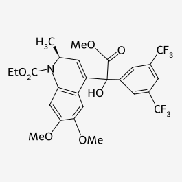 CCOC(=O)N1c2cc(OC)c(OC)cc2C(C(O)(C(=O)OC)c2cc(C(F)(F)F)cc(C(F)(F)F)c2)=C[C@@H]1C